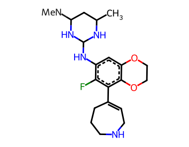 CNC1CC(C)NC(Nc2cc3c(c(C4=CCNCCC4)c2F)OCCO3)N1